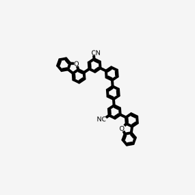 N#Cc1cc(-c2ccc(-c3cccc(-c4cc(C#N)cc(-c5cccc6c5oc5ccccc56)c4)c3)cc2)cc(-c2cccc3c2oc2ccccc23)c1